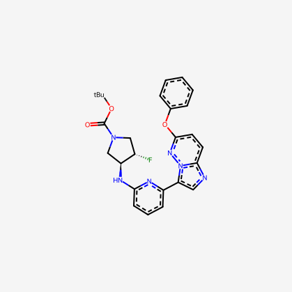 CC(C)(C)OC(=O)N1C[C@H](Nc2cccc(-c3cnc4ccc(Oc5ccccc5)nn34)n2)[C@@H](F)C1